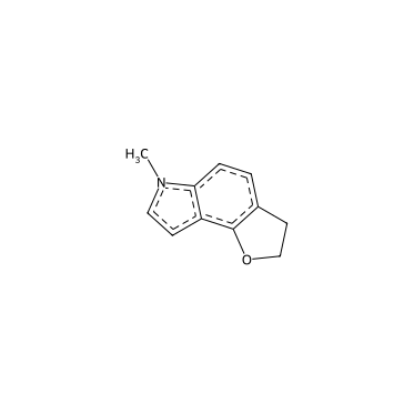 Cn1ccc2c3c(ccc21)CCO3